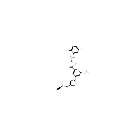 CC#CNCc1cnn(-c2cc(C)nc(C(=O)NNS(=O)(=O)c3ccccc3F)c2)c1